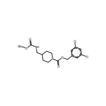 CC(C)(C)OC(=O)NCC1CCN(C(=O)OCc2cc(Cl)cc(Cl)c2)CC1